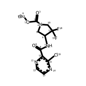 CC(C)(C)OC(=O)N1CC(NC(=O)c2nccnc2Cl)C(F)(F)C1